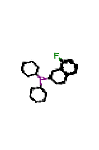 Fc1cccc2c1CC(P(C1CCCCC1)C1CCCCC1)CC2